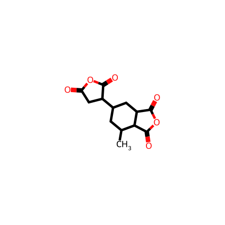 CC1CC(C2CC(=O)OC2=O)CC2C(=O)OC(=O)C12